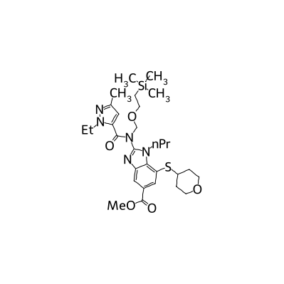 CCCn1c(N(COCC[Si](C)(C)C)C(=O)c2cc(C)nn2CC)nc2cc(C(=O)OC)cc(SC3CCOCC3)c21